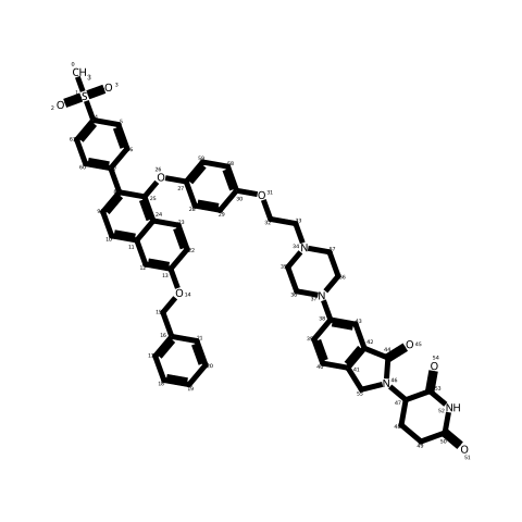 CS(=O)(=O)c1ccc(-c2ccc3cc(OCc4ccccc4)ccc3c2Oc2ccc(OCCN3CCN(c4ccc5c(c4)C(=O)N(C4CCC(=O)NC4=O)C5)CC3)cc2)cc1